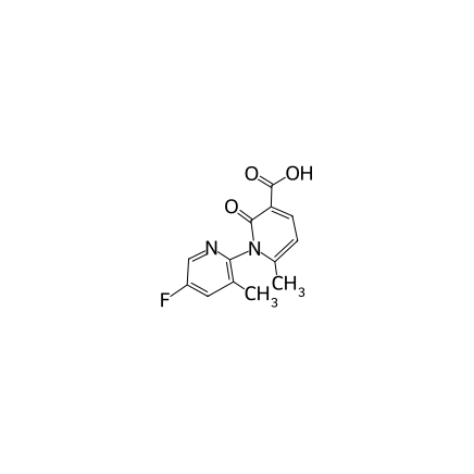 Cc1cc(F)cnc1-n1c(C)ccc(C(=O)O)c1=O